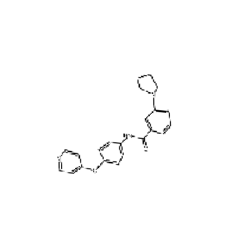 O=C(Nc1ccc(Oc2ccncc2)cc1)c1cccc(N2CCCC2)c1